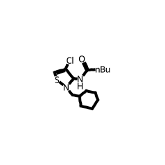 CCCCC(=O)NC1C(Cl)=CSN1CC1CCCCC1